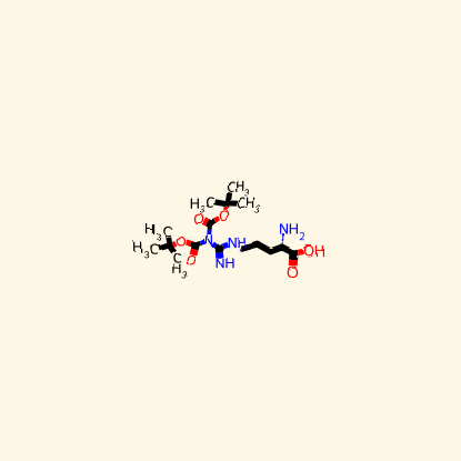 CC(C)(C)OC(=O)N(C(=N)NCCC[C@H](N)C(=O)O)C(=O)OC(C)(C)C